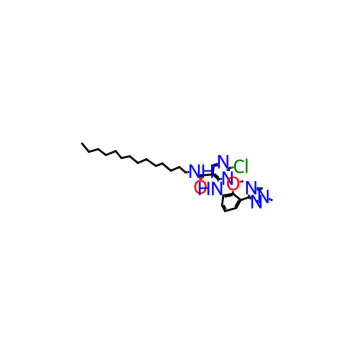 CCCCCCCCCCCCCCNC(=O)c1cnc(Cl)nc1Nc1cccc(-c2ncn(C)n2)c1OC